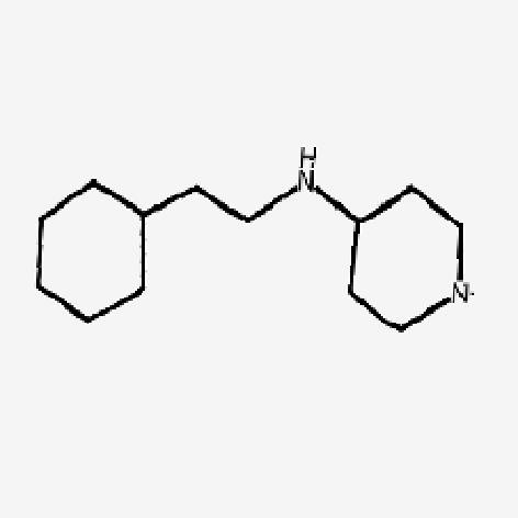 C1CCC(CCNC2CC[N]CC2)CC1